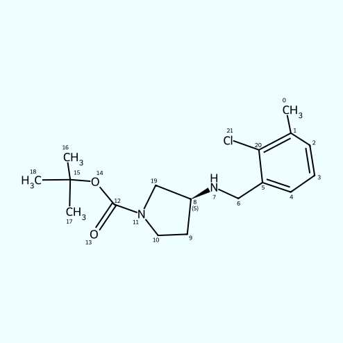 Cc1cccc(CN[C@H]2CCN(C(=O)OC(C)(C)C)C2)c1Cl